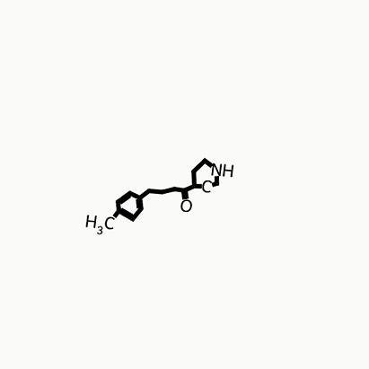 Cc1ccc(CCCC(=O)C2CCNCC2)cc1